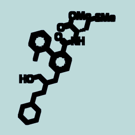 COC(=O)[C@H](CCSC)NC(=O)c1ccc(CC(CO)CCC2CCCCC2)cc1-c1ccccc1C